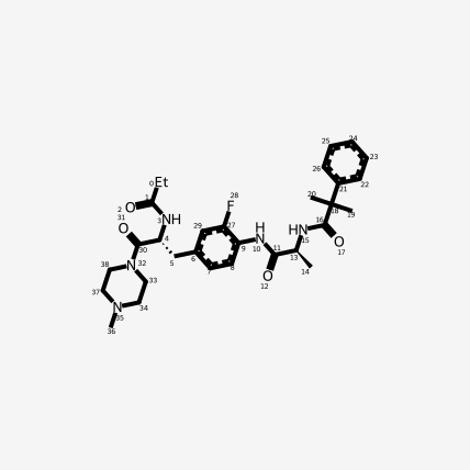 CCC(=O)N[C@H](Cc1ccc(NC(=O)[C@H](C)NC(=O)C(C)(C)c2ccccc2)c(F)c1)C(=O)N1CCN(C)CC1